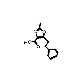 Cc1nc(C(=O)O)c(CCc2ccccc2)o1